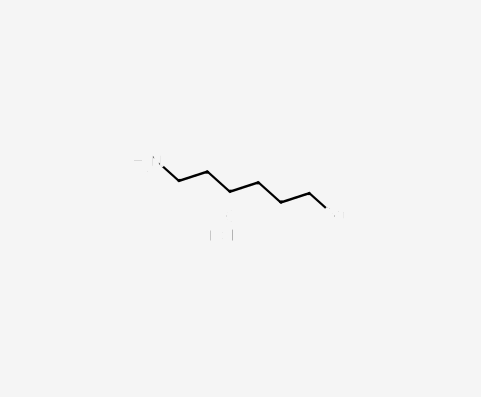 Cl.Cl.NCCCCC[CH2][Sn]